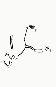 C=C.NCC(=O)O.O.O.O